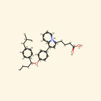 CCCC(Oc1ccc(-c2cc(CCCC(=O)O)n3ccccc23)cc1)c1ccc(CC(C)C)cc1